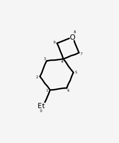 CCC1CCC2(CC1)COC2